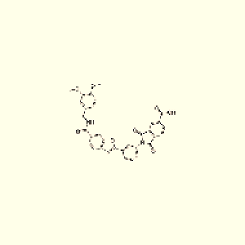 COc1ccc(CNC(=O)c2ccc3nc(-c4cccc(N5C(=O)c6ccc(C(=O)O)cc6C5=O)c4)oc3c2)cc1OC